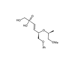 COC[C@H](C)O[C@H](/C=C/P(=O)(O)CO)COC(C)C